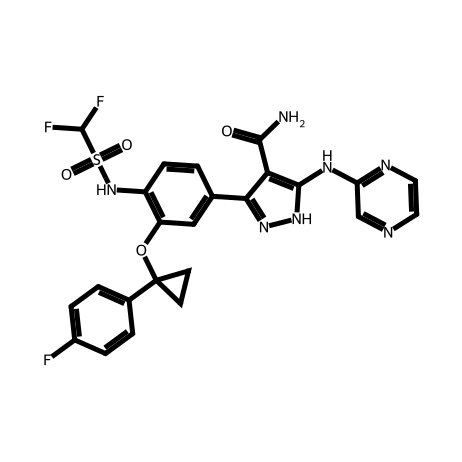 NC(=O)c1c(-c2ccc(NS(=O)(=O)C(F)F)c(OC3(c4ccc(F)cc4)CC3)c2)n[nH]c1Nc1cnccn1